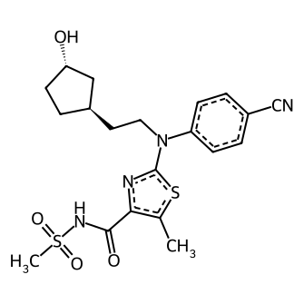 Cc1sc(N(CC[C@H]2CC[C@H](O)C2)c2ccc(C#N)cc2)nc1C(=O)NS(C)(=O)=O